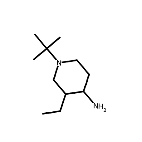 CCC1CN(C(C)(C)C)CCC1N